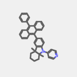 CC12CCCCC1(C)N(c1ccncc1)c1ccc(-c3c4ccccc4c(-c4ccccc4)c4ccccc34)cc12